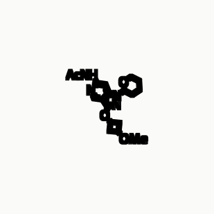 COC1CC(Oc2nn(C3CCCCO3)c3cc(NC(C)=O)ncc23)C1